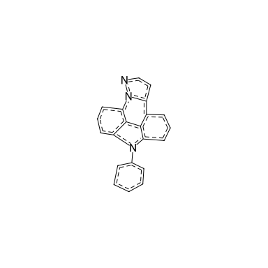 c1ccc(-n2c3cccc4c3c3c2cccc3n2nccc42)cc1